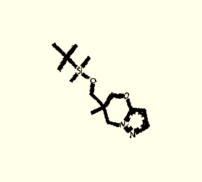 CC1(CO[Si](C)(C)C(C)(C)C)COc2ccnn2C1